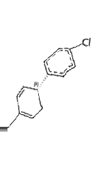 Clc1ccc([C@H]2C=CC(Br)=CC2)cc1